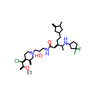 C=C(OCC)/C(Cl)=C1/CCN(C[C@@H](O)CNC(=O)/C=C(\CCC2CC(=C)C(C)C2)C(C)NC2CCC(F)(F)C2)CC1=C